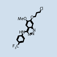 COc1cc2c(Nc3ccc(C(F)(F)F)cc3)nnnc2cc1OCCCCl